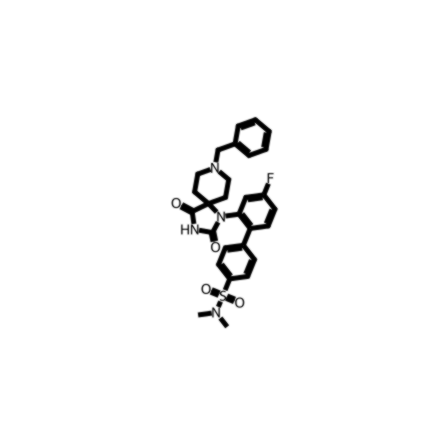 CN(C)S(=O)(=O)c1ccc(-c2ccc(F)cc2N2C(=O)NC(=O)C23CCN(Cc2ccccc2)CC3)cc1